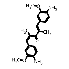 COc1cc(C=C(C)C(=O)C(C)=Cc2ccc(N)c(OC)c2)ccc1N